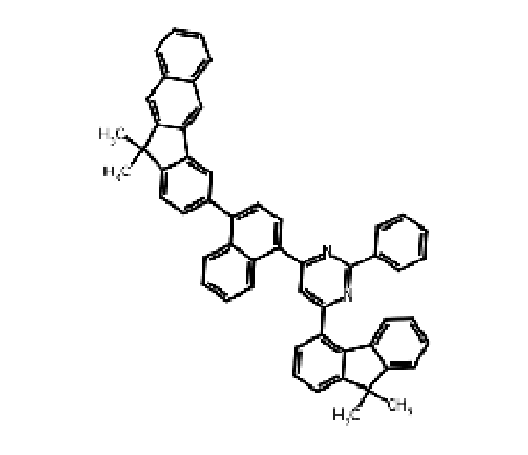 CC1(C)c2ccc(-c3ccc(-c4cc(-c5cccc6c5-c5ccccc5C6(C)C)nc(-c5ccccc5)n4)c4ccccc34)cc2-c2cc3ccccc3cc21